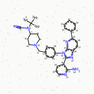 [2H]C([2H])([2H])N(C#N)C1CCN(Cc2ccc(-n3c(-c4cccnc4N)nc4ccc(-c5ccccc5)nc43)cc2)CC1